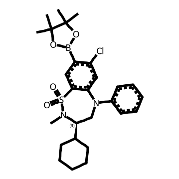 CN1[C@H](C2CCCCC2)CN(c2ccccc2)c2cc(Cl)c(B3OC(C)(C)C(C)(C)O3)cc2S1(=O)=O